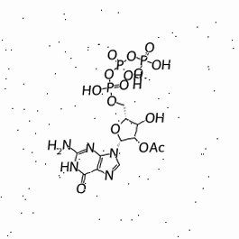 CC(=O)OC1C(O)[C@@H](COP(=O)(O)OP(=O)(O)OP(=O)(O)O)O[C@H]1n1cnc2c(=O)[nH]c(N)nc21